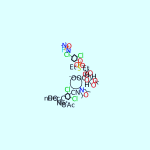 CC(=O)O.CC1(C)OC[C@@H]2O[C@@]3(C(=O)[O-])OC(C)(C)O[C@H]3[C@@H]2O1.CC1CN(C2CCCCCCCCCCC2)CC(C)O1.CCCCCCCCCCCCOC(C)=O.CCOP(=S)(OCC)Oc1ccc(Cl)cc1Cl.CN(C)P(=O)(F)N(C)C.N#Cc1c(Cl)cccc1Cl.[Na+]